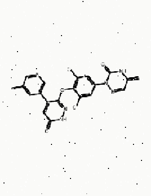 C=C1C=NN(c2cc(Cl)c(Oc3n[nH]c(=O)cc3-c3cncc(C)c3)c(Cl)c2)C(=O)N1